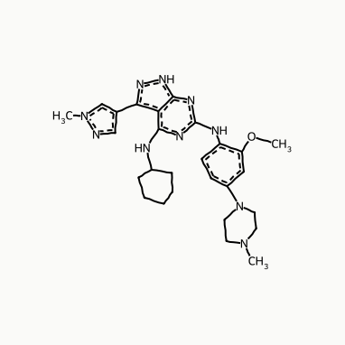 COc1cc(N2CCN(C)CC2)ccc1Nc1nc(NC2CCCCC2)c2c(-c3cnn(C)c3)n[nH]c2n1